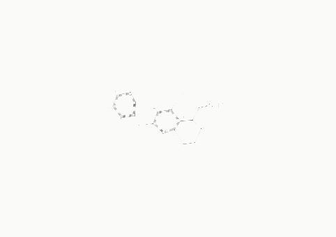 CC(=O)NCC1CCCc2cc(Sc3ccccc3)cc(F)c21